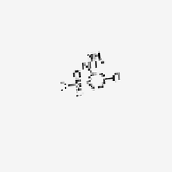 NNc1cc(Cl)ccc1S(=O)(=O)C1CC1